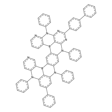 c1ccc(-c2ccc(-c3nc4c5c(n3)N(c3ccccc3)c3ncccc3B5c3cc5c(cc3N4c3ccccc3)N(c3ccccc3)c3cc(-c4ccccc4)cc4c3B5c3cnccc3N4c3ccccc3)cc2)cc1